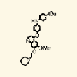 COc1cc2c(Oc3ccc(Nc4ccc(C(C)(C)C)cc4)cc3)ccnc2cc1OCCN1CCCCCC1